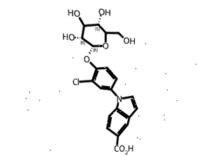 O=C(O)c1ccc2c(ccn2-c2ccc(O[C@H]3OC(CO)[C@@H](O)C(O)[C@H]3O)c(Cl)c2)c1